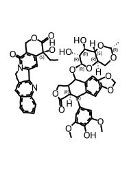 CC[C@@]1(O)C(=O)OCc2c1cc1n(c2=O)Cc2cc3ccccc3nc2-1.COc1cc([C@@H]2c3cc4c(cc3C(O[C@@H]3O[C@@H]5CO[C@@H](C)O[C@H]5[C@H](O)[C@H]3O)C3COC(=O)[C@@H]32)OCO4)cc(OC)c1O